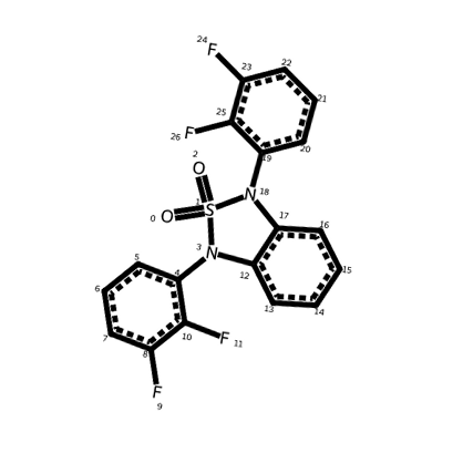 O=S1(=O)N(c2cccc(F)c2F)c2ccccc2N1c1cccc(F)c1F